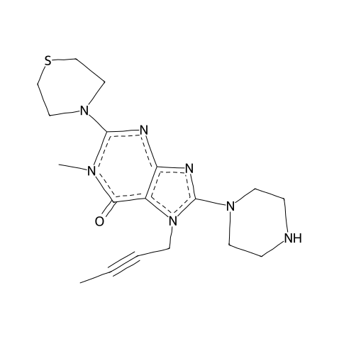 CC#CCn1c(N2CCNCC2)nc2nc(N3CCSCC3)n(C)c(=O)c21